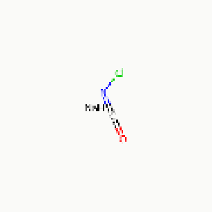 O=C=NCl.[NaH]